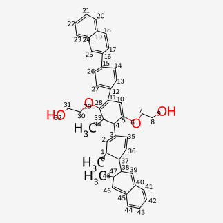 CC1C=C(C2C(OCCO)=CC(c3ccc(-c4ccc5ccccc5c4)cc3)=C(OCCO)C2C)C=CC1C1C=c2ccccc2=CC1C